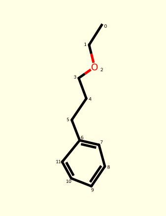 CCOCC[CH]c1ccccc1